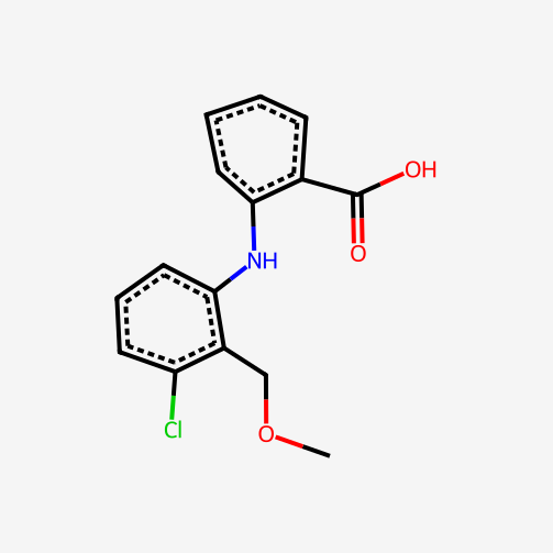 COCc1c(Cl)cccc1Nc1ccccc1C(=O)O